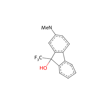 CNc1ccc2c(c1)C(O)(C(F)(F)F)c1ccccc1-2